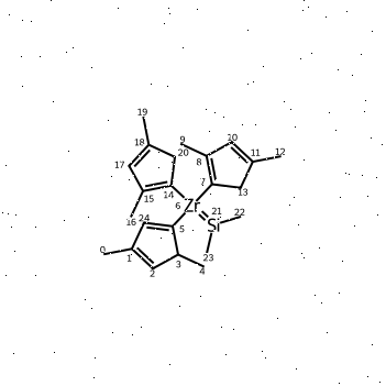 CC1=CC(C)[C]([Zr]([C]2=C(C)C=C(C)C2)([C]2=C(C)C=C(C)C2)=[Si](C)C)=C1